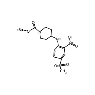 CC(C)(C)OC(=O)N1CCC(Nc2ccc(S(C)(=O)=O)cc2[N+](=O)O)CC1